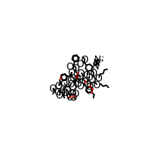 CCCCOC1C(C)OC(OC2C(N=[N+]=[N-])CC(C(=O)OC)CC2OC2OC(COC(=O)c3ccccc3)C(OC(=O)c3ccccc3)C(OC3(C(=O)OC)CC(OC(C)=O)C(NC(C)=O)C([C@H](OC(C)=O)[C@@H](COC(C)=O)OC(C)=O)O3)C2OC(=O)c2ccccc2)C(OCCCC)C1OCCCC